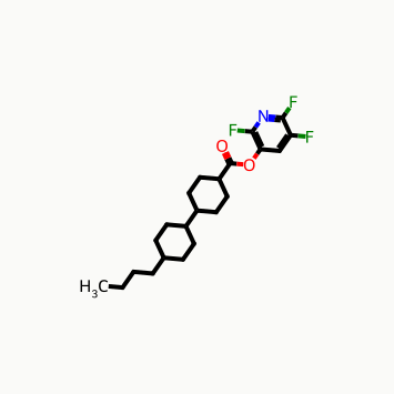 CCCCC1CCC(C2CCC(C(=O)Oc3cc(F)c(F)nc3F)CC2)CC1